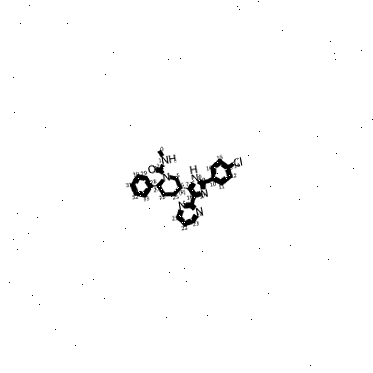 CNC(=O)N1C[C@H](c2[nH]c(-c3ccc(Cl)cc3)nc2-c2ncccn2)CC[C@@H]1c1ccccc1